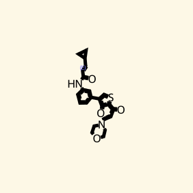 O=C(/C=C/C1CC1)Nc1cccc(-c2csc3c(=O)cc(N4CCOCC4)oc23)c1